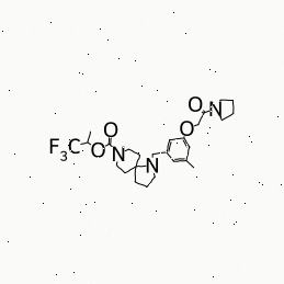 Cc1cc(CN2CCCC23CCN(C(=O)OC(C)C(F)(F)F)CC3)cc(OCC(=O)N2CCCC2)c1